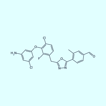 Cc1cc(C=O)ccc1-c1nnc(Cc2ccc(Cl)c(Oc3cc(N)cc(Cl)c3)c2F)o1